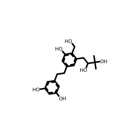 CC(C)(O)C(O)Cc1cc(CCc2cc(O)cc(O)c2)cc(O)c1CO